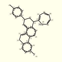 Cc1ccc(C2C=c3c(ccc4c3=CCc3ccc(F)cc3-4)C(C3=CC=CC=CN3)C2)cc1